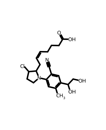 Cc1cc(N2CCC(Cl)C2C/C=C\CCCC(=O)O)c(C#N)cc1C(O)CO